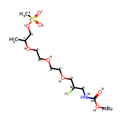 CC(COS(C)(=O)=O)OCCOCCOCC(F)CNC(=O)OC(C)(C)C